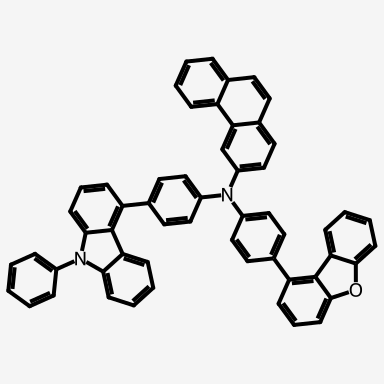 c1ccc(-n2c3ccccc3c3c(-c4ccc(N(c5ccc(-c6cccc7oc8ccccc8c67)cc5)c5ccc6ccc7ccccc7c6c5)cc4)cccc32)cc1